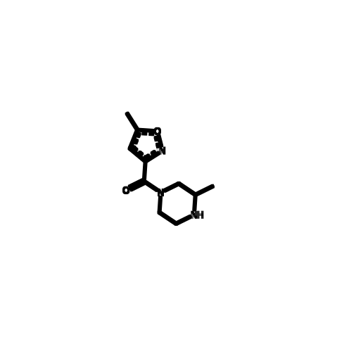 Cc1cc(C(=O)N2CCNC(C)C2)no1